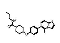 CCCNC(=O)N1CCC(Oc2ccc(-c3ccc4nccn4c3C)cc2)CC1